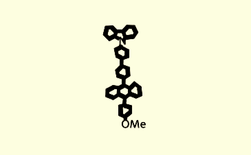 COc1ccc(-c2c3ccccc3c(-c3ccc(-c4ccc(-n5c6ccccc6c6ccccc65)cc4)cc3)c3ccccc23)cc1